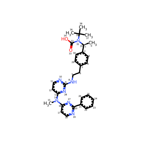 C[C@@H](c1ccc(CCNc2nccc(N(C)c3ccnc(-c4ccccc4)n3)n2)cc1)N(C(=O)O)C(C)(C)C